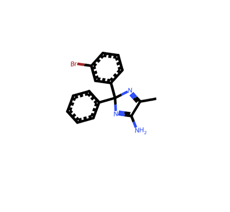 CC1=NC(c2ccccc2)(c2cccc(Br)c2)N=C1N